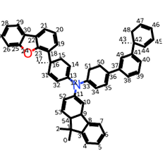 CC1(C)c2ccccc2C2C=C(N(C3=CC[C@](C)(c4cccc5c4oc4ccccc45)C=C3)C3=CC=C(c4cccc([C@]5(C)C=CC=CC5)c4)CC3)C=CC21